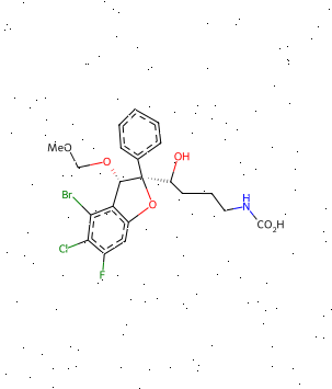 COCO[C@H]1c2c(cc(F)c(Cl)c2Br)O[C@@]1(c1ccccc1)C(O)CCCNC(=O)O